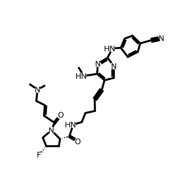 CNc1nc(Nc2ccc(C#N)cc2)ncc1C#CCCCNC(=O)[C@@H]1C[C@H](F)CN1C(=O)/C=C/CN(C)C